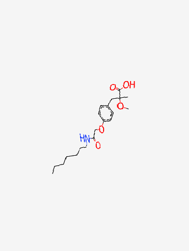 CCCCCCCNC(=O)COc1ccc(CC(C)(OC)C(=O)O)cc1